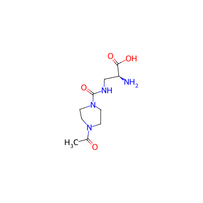 CC(=O)N1CCN(C(=O)NC[C@H](N)C(=O)O)CC1